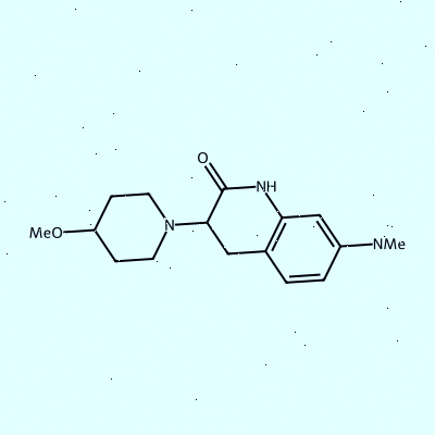 CNc1ccc2c(c1)NC(=O)C(N1CCC(OC)CC1)C2